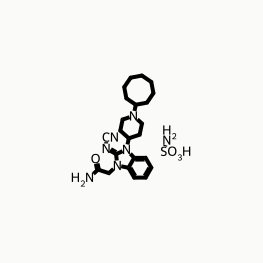 N#CN=c1n(CC(N)=O)c2ccccc2n1C1CCN(C2CCCCCCC2)CC1.NS(=O)(=O)O